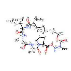 CCCN(NOC(=O)[C@@H]1CCCN1C(=O)[C@@H](NC(=O)[C@@H](NC(=O)[C@H](NC(=O)[C@@H](CCC(=O)O)NC(C)=O)C(CC(=O)O)C(=O)O)C(C)C)C(C)C)C(=O)OC(Cl)C(Cl)(Cl)Cl